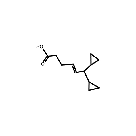 O=C(O)CCC=CC(C1CC1)C1CC1